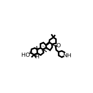 CC1(C)CC[C@]2(C(=O)CC3CCNCC3)CC[C@]3(C)C(=C2C1)CCC1[C@@]2(C)CC[C@H](O)C(C)(C)[C@@H]2CC[C@]13C